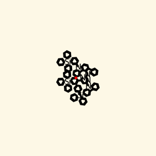 c1ccc([Si](c2ccccc2)(c2ccccc2)c2ccc(-c3cc(-n4c5ccccc5c5ccc([Si](c6ccccc6)(c6ccccc6)c6ccccc6)cc54)nc(-n4c5ccccc5c5ccc6c(c7ccccc7n6-c6cccc([Si](c7ccccc7)(c7ccccc7)c7ccccc7)c6)c54)n3)cc2)cc1